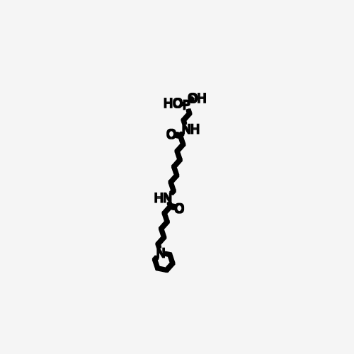 O=C(CCCCCN1CCCCC1)NCCCCCCCC(=O)NCCP(O)O